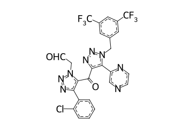 O=CCn1nnc(-c2ccccc2Cl)c1C(=O)c1nnn(Cc2cc(C(F)(F)F)cc(C(F)(F)F)c2)c1-c1cnccn1